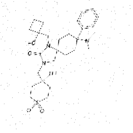 CN(C)C1(c2ccccc2)CCC2(CC1)CN(CC1(O)CCS(=O)(=O)CC1)C(=O)N2CC1(O)CCC1